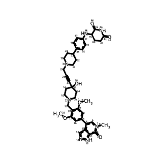 COc1cc(-c2cn(C)c(=O)c3[nH]ncc23)cc(OC)c1CN1CCC(O)(C#CCN2CCC(c3ccc(NC4CCC(=O)NC4=O)cc3)CC2)CC1